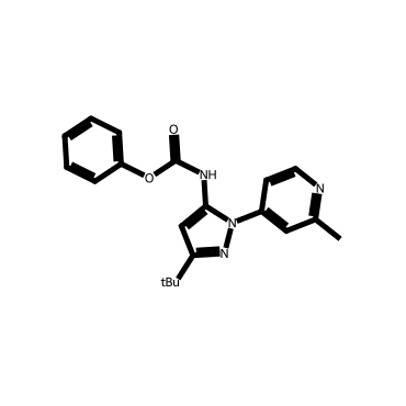 Cc1cc(-n2nc(C(C)(C)C)cc2NC(=O)Oc2ccccc2)ccn1